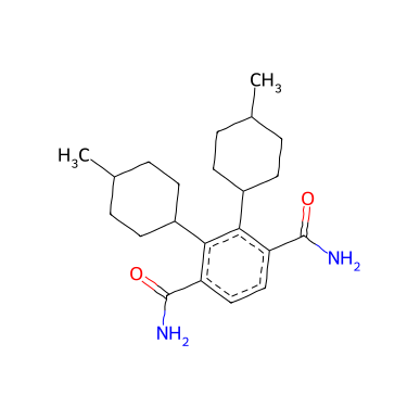 CC1CCC(c2c(C(N)=O)ccc(C(N)=O)c2C2CCC(C)CC2)CC1